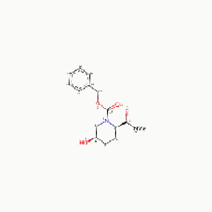 CNC(=O)[C@H]1CC[C@@H](O)CN1C(=O)OCc1ccccc1